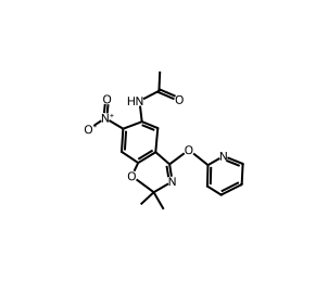 CC(=O)Nc1cc2c(cc1[N+](=O)[O-])OC(C)(C)N=C2Oc1ccccn1